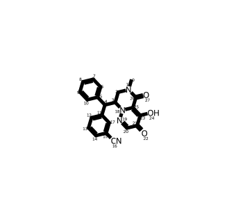 CN1CC(C(c2ccccc2)c2cccc(C#N)c2)n2ncc(=O)c(O)c2C1=O